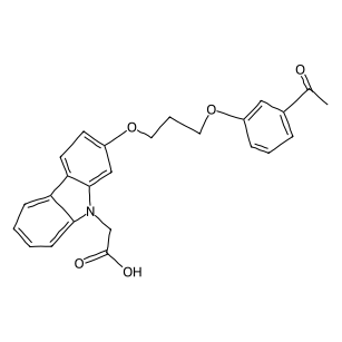 CC(=O)c1cccc(OCCCOc2ccc3c4ccccc4n(CC(=O)O)c3c2)c1